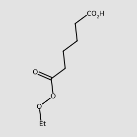 CCOOC(=O)CCCCC(=O)O